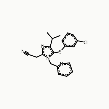 CC(C)c1nc(CC#N)n(Cc2ccccn2)c1Sc1cccc(Cl)c1